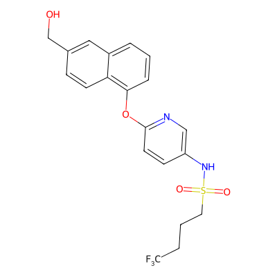 O=S(=O)(CCCC(F)(F)F)Nc1ccc(Oc2cccc3cc(CO)ccc23)nc1